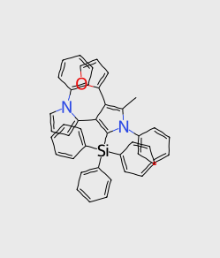 Cc1c(-c2ccco2)c(-c2cccn2-c2ccccc2)c([Si](c2ccccc2)(c2ccccc2)c2ccccc2)n1-c1ccccc1